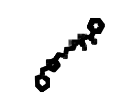 O=C(NC(=S)NCCSCc1ccc(CN2CCCCC2)s1)c1ccccc1